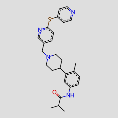 Cc1ccc(NC(=O)C(C)C)cc1C1CCN(Cc2ccc(Sc3ccncc3)nc2)CC1